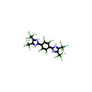 Fc1c(F)c(=C2N=C(C(F)(F)F)C(C(F)(F)F)=N2)c(F)c(F)c1=C1N=C(C(F)(F)F)C(C(F)(F)F)=N1